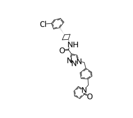 O=C(N[C@H]1C[C@@H](c2cccc(Cl)c2)C1)c1cn(Cc2ccc(Cn3ccccc3=O)cc2)nn1